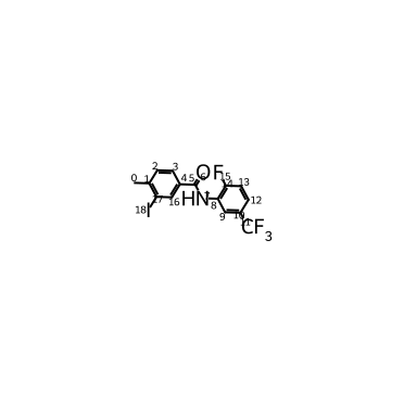 Cc1ccc(C(=O)Nc2cc(C(F)(F)F)ccc2F)cc1I